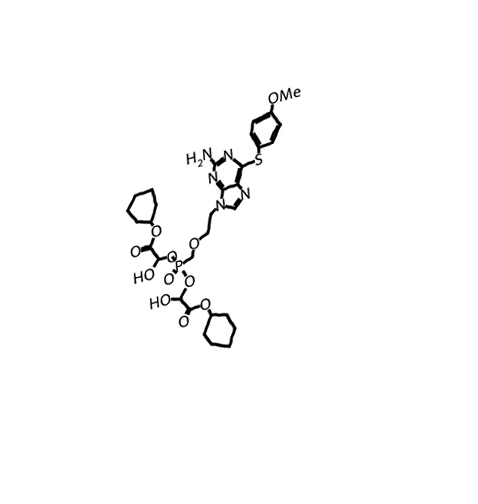 COc1ccc(Sc2nc(N)nc3c2ncn3CCOCP(=O)(OC(O)C(=O)OC2CCCCC2)OC(O)C(=O)OC2CCCCC2)cc1